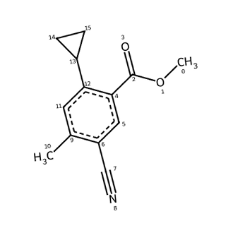 COC(=O)c1cc(C#N)c(C)cc1C1CC1